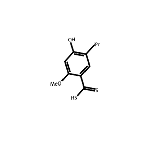 COc1cc(O)c(C(C)C)cc1C(=S)S